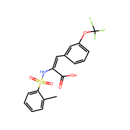 Cc1ccccc1S(=O)(=O)NC(=Cc1cccc(OC(F)(F)F)c1)C(=O)O